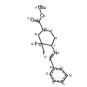 CC(C)(C)OC(=O)N1CCC(/N=C/c2ccccc2)C(F)(F)C1